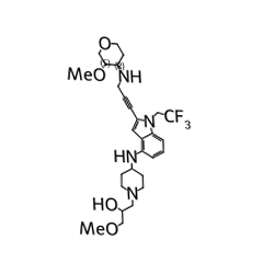 COCC(O)CN1CCC(Nc2cccc3c2cc(C#CCN[C@@H]2CCOC[C@H]2OC)n3CC(F)(F)F)CC1